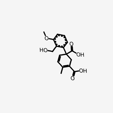 COc1cccc(C2(C(=O)O)C=CC(C)=C(C(=O)O)C2)c1CO